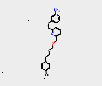 Cc1ccc(CCCCOCc2cccc(/C=C\c3cccc(N)c3)n2)cc1